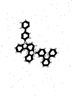 c1ccc(-c2ccc(-n3c4ccccc4c4c5c6ccccc6n(-c6cccc(-c7ccccc7-c7ccccc7)c6)c5ccc43)cc2)cc1